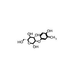 Cc1cc(O[C@@H]2[C@@H](O)[C@H](O)[C@@H](CO)O[C@H]2O)ccc1O